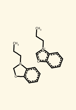 CCCN1COc2ccccc21.CCC[n+]1coc2ccccc21